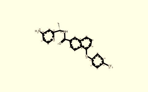 C[C@H](NC(=O)c1ccc2c(Oc3ccc(C(F)(F)F)cc3)cccc2c1)c1cc(N)ccn1